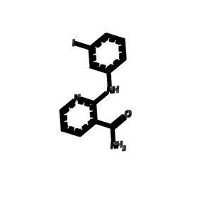 NC(=O)c1cccnc1Nc1cccc(I)c1